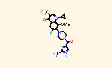 COc1c(N2CCN(C(=O)c3c[nH]c(N)n3)CC2)c(F)cc2c(=O)c(C(=O)O)cn(C3CC3)c12